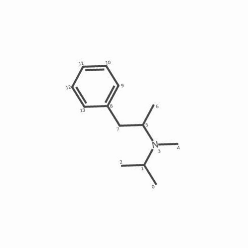 CC(C)N(C)C(C)Cc1ccccc1